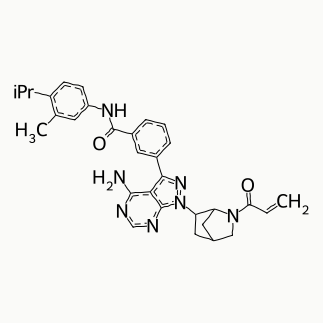 C=CC(=O)N1CC2CC1C(n1nc(-c3cccc(C(=O)Nc4ccc(C(C)C)c(C)c4)c3)c3c(N)ncnc31)C2